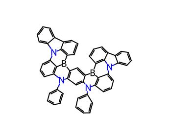 c1ccc(N2c3cc4c(cc3B3c5c2cccc5-n2c5ccccc5c5cccc3c52)B2c3c(cccc3-n3c5ccccc5c5cccc2c53)N4c2ccccc2)cc1